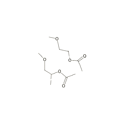 COCC(C)OC(C)=O.COCCOC(C)=O